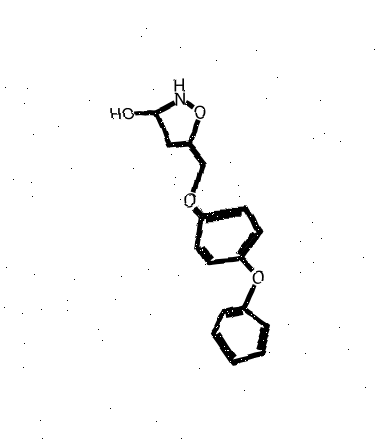 OC1CC(COc2ccc(Oc3ccccc3)cc2)ON1